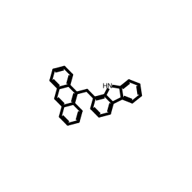 c1ccc2c(Cc3cccc4c3[nH]c3ccccc34)c3ccccc3cc2c1